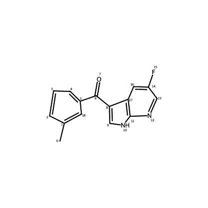 Cc1cccc(C(=O)c2c[nH]c3ncc(F)cc23)c1